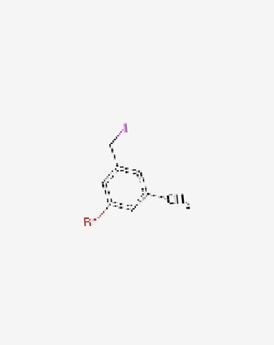 Cc1cc(Br)cc(CI)c1